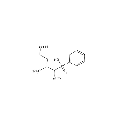 CCCCCCC(C(CCC(=O)O)C(=O)O)P(=O)(O)c1ccccc1